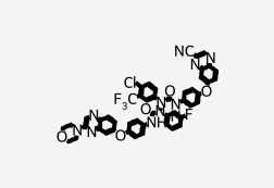 N#Cc1cnc2ccc(Oc3ccc(NC(=O)N(c4ccc(Cl)c(C(F)(F)F)c4)N(C(=O)Nc4ccc(Oc5ccc6ncc(N7CCOCC7)nc6c5)cc4)c4cccc(F)c4)cc3)cc2n1